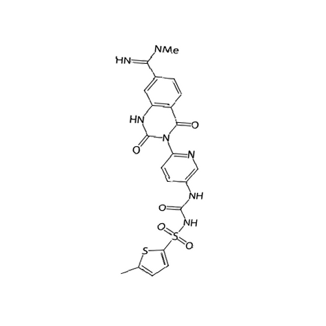 CNC(=N)c1ccc2c(=O)n(-c3ccc(NC(=O)NS(=O)(=O)c4ccc(C)s4)cn3)c(=O)[nH]c2c1